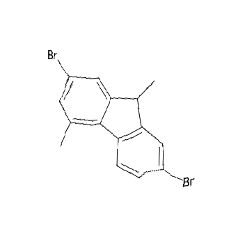 Cc1cc(Br)cc2c1-c1ccc(Br)cc1C2C